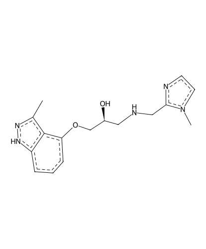 Cc1n[nH]c2cccc(OC[C@@H](O)CNCc3nccn3C)c12